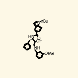 CCCCn1ccc2cc(C(=O)N[C@@H](Cc3ccccc3)[C@H](O)CNCc3cccc(OC)c3)ccc21